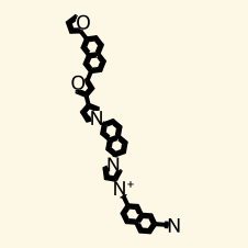 N#Cc1ccc2ccc(C#[N+]c3ccn(-c4ccc5ccc(-n6ccc(-c7coc(-c8ccc9ccc(-c%10ccco%10)cc9c8)c7)c6)cc5c4)c3)cc2c1